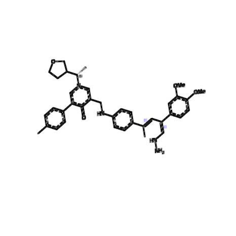 COc1ccc(C(/C=C(\C)c2ccc(NCc3cn([C@@H](C)C4CCOC4)cc(-c4ccc(C)cc4)c3=O)cc2)=C/NN)cc1OC